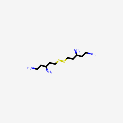 NCCC(N)CCSSCCC(N)CCN